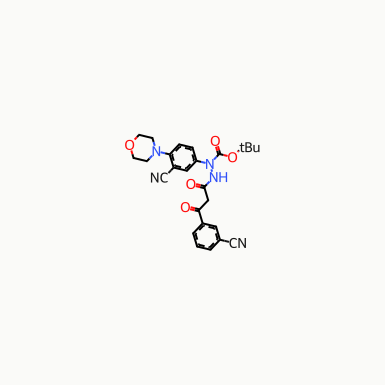 CC(C)(C)OC(=O)N(NC(=O)CC(=O)c1cccc(C#N)c1)c1ccc(N2CCOCC2)c(C#N)c1